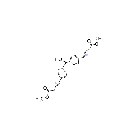 COC(=O)C/C=C/c1ccc(B(O)c2ccc(/C=C/CC(=O)OC)cc2)cc1